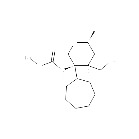 C[C@H]1C[C@@](F)(CO)[C@](NC(=O)OC(C)(C)C)(C2CCCCCC2)CO1